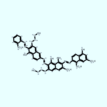 Nc1c(N=Nc2ccc3c(O)cc(S(=O)(=O)O)cc3c2S(=O)(=O)O)c(S(=O)(=O)O)cc2cc(SOOO)c(N=Nc3ccc4c(O)c(N=Nc5ccccc5S(=O)(=O)O)c(SOOO)cc4c3)c(O)c12